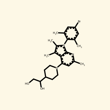 Cc1cc(N2CCC(C(O)CO)CC2)c2c(C)c(C)n(-c3c(C)cc(Br)cc3C)c2n1